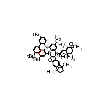 C=C/C(=C\C1=C(C)C(C)(C)CCC1(C)C)N1c2cc(C)cc3c2B(c2cc(C(C)(C)C)ccc2N3c2ccc(C(C)(C)C)cc2-c2ccc(C(C)(C)C)cc2)c2oc3cc4c(cc3c21)C1(C)CCC4(C)C1